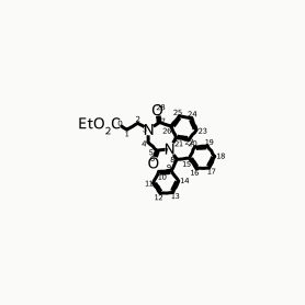 CCOC(=O)CCN1CC(=O)N(C(c2ccccc2)c2ccccc2)c2ccccc2C1=O